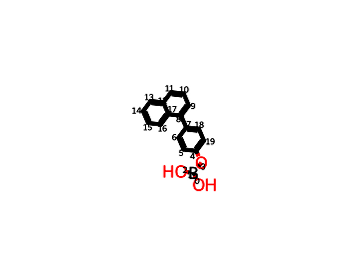 OB(O)Oc1ccc(-c2cccc3ccccc23)cc1